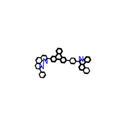 C1=CCCC(C2=NC3=C(C=CC4C=CC(c5ccc6c7ccc(C8C=CC(c9nc%10ccccc%10c%10c%11c(ccc9%10)C=CCC%11)=CC8)cc7c7ccccc7c6c5)=NC34)CC2)=C1